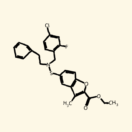 CCOC(=O)c1oc2ccc(SN(CCc3ccccc3)Cc3ccc(Cl)cc3F)cc2c1C